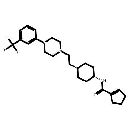 O=C(N[C@H]1CC[C@H](CCN2CCN(c3cccc(C(F)(F)F)c3)CC2)CC1)C1=CCCC1